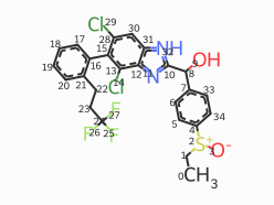 CC[S+]([O-])c1ccc(C(O)c2nc3c(Cl)c(-c4ccccc4CCC(F)(F)F)c(Cl)cc3[nH]2)cc1